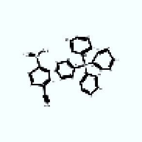 N#Cc1ccc(S(=O)[O-])cc1.c1ccc([P+](c2ccccc2)(c2ccccc2)c2ccccc2)cc1